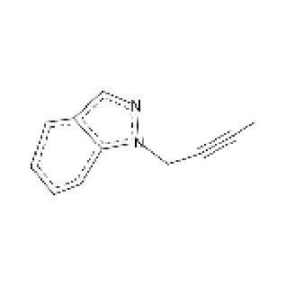 CC#CCn1ncc2ccccc21